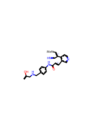 C=C(O)CNCc1ccc(NC(=O)/C=C/c2cnccc2/C(C=N)=C/NC)cc1